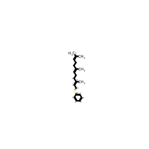 CC(C)=CCC/C(C)=C/CC/C(C)=C/CSc1ccccc1